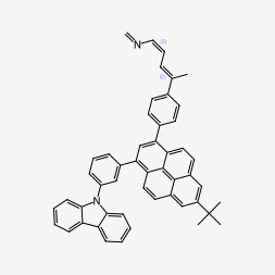 C=N/C=C\C=C(/C)c1ccc(-c2cc(-c3cccc(-n4c5ccccc5c5ccccc54)c3)c3ccc4cc(C(C)(C)C)cc5ccc2c3c54)cc1